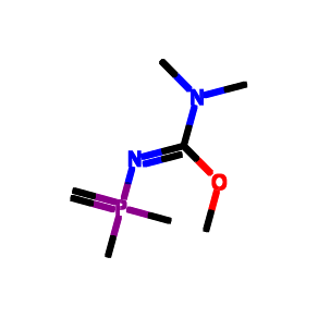 C=P(C)(C)/N=C(\OC)N(C)C